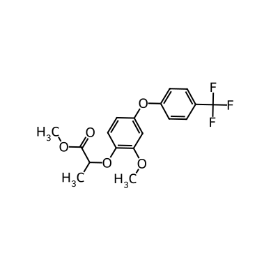 COC(=O)C(C)Oc1ccc(Oc2ccc(C(F)(F)F)cc2)cc1OC